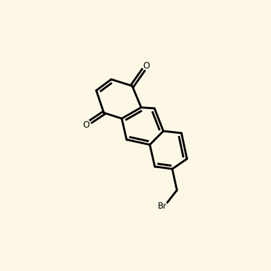 O=C1C=CC(=O)c2cc3cc(CBr)ccc3cc21